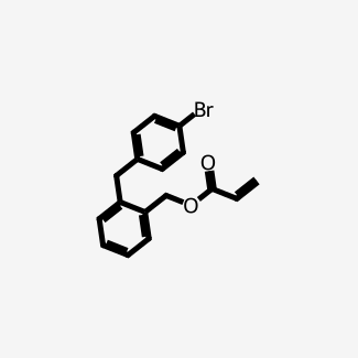 C=CC(=O)OCc1ccccc1Cc1ccc(Br)cc1